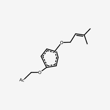 CC(=O)COc1ccc(OCC=C(C)C)cc1